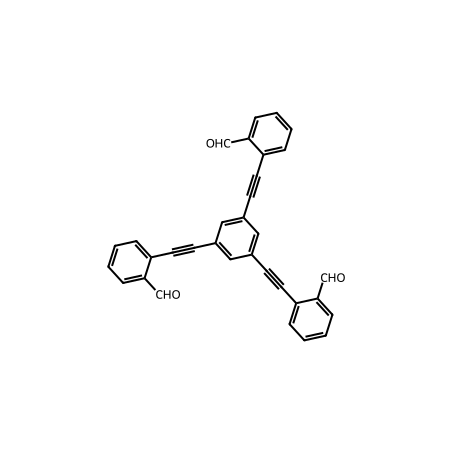 O=Cc1ccccc1C#Cc1cc(C#Cc2ccccc2C=O)cc(C#Cc2ccccc2C=O)c1